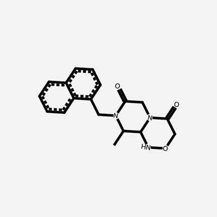 CC1C2NOCC(=O)N2CC(=O)N1Cc1cccc2ccccc12